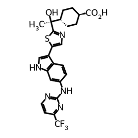 C[C@@](O)(c1ncc(-c2c[nH]c3cc(Nc4nccc(C(F)(F)F)n4)ccc23)s1)[C@H]1CC[C@H](C(=O)O)CC1